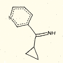 N=C(c1cccnc1)C1CC1